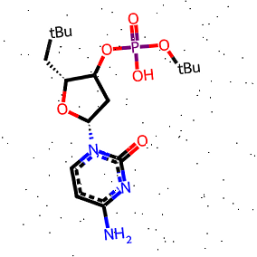 CC(C)(C)C[C@H]1O[C@@H](n2ccc(N)nc2=O)CC1OP(=O)(O)OC(C)(C)C